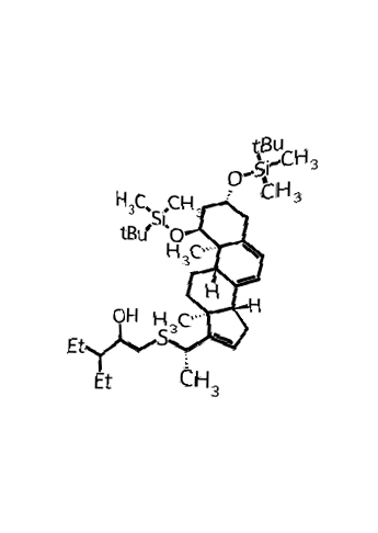 CCC(CC)C(O)CS[C@@H](C)C1=CC[C@H]2C3=CC=C4C[C@@H](O[Si](C)(C)C(C)(C)C)C[C@H](O[Si](C)(C)C(C)(C)C)[C@]4(C)[C@H]3CC[C@]12C